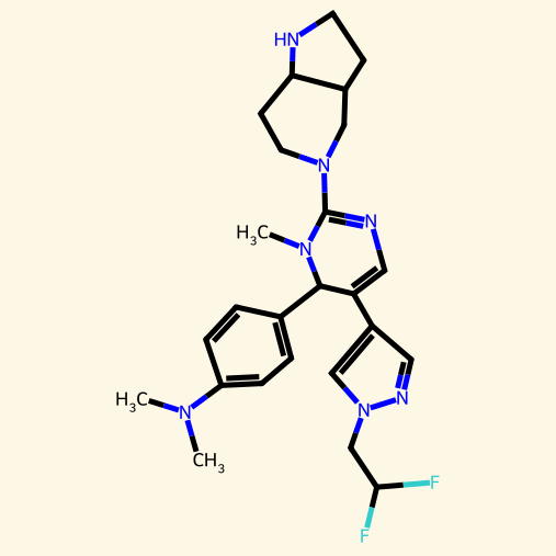 CN(C)c1ccc(C2C(c3cnn(CC(F)F)c3)=CN=C(N3CCC4NCCC4C3)N2C)cc1